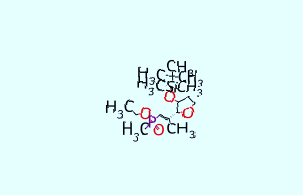 CCOP(C)(=O)/C=C(\C)[C@H]1OCCC1O[Si](C)(C)C(C)(C)C